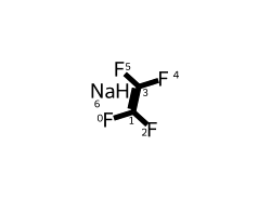 FC(F)=C(F)F.[NaH]